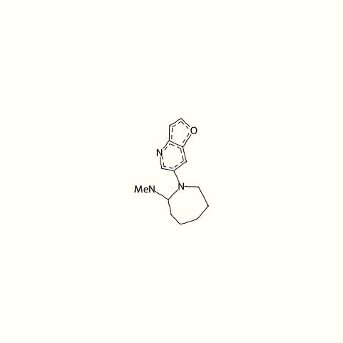 CNC1CCCCCN1c1cnc2ccoc2c1